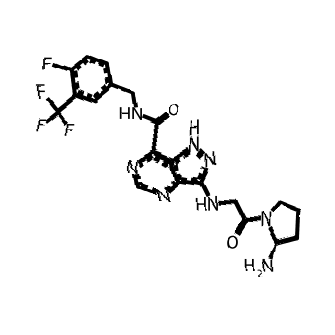 N[C@@H]1CCCN1C(=O)CNc1n[nH]c2c(C(=O)NCc3ccc(F)c(C(F)(F)F)c3)ncnc12